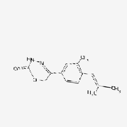 CC(C)=Cc1ccc(C2=NNC(=O)OC2)cc1C(F)(F)F